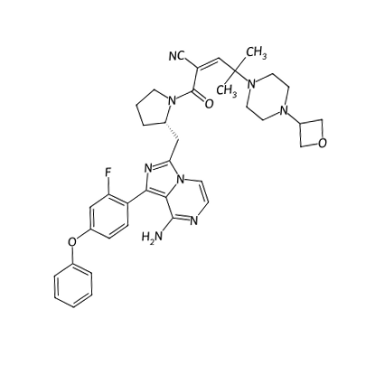 CC(C)(/C=C(/C#N)C(=O)N1CCC[C@H]1Cc1nc(-c2ccc(Oc3ccccc3)cc2F)c2c(N)nccn12)N1CCN(C2COC2)CC1